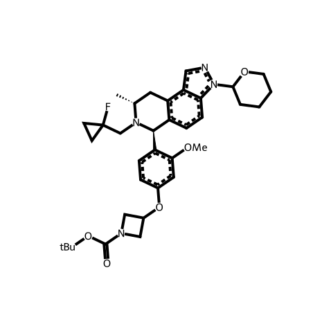 COc1cc(OC2CN(C(=O)OC(C)(C)C)C2)ccc1[C@@H]1c2ccc3c(cnn3C3CCCCO3)c2C[C@@H](C)N1CC1(F)CC1